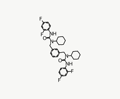 O=C(Nc1ccc(F)cc1F)N(Cc1cccc(CN(C(=O)Nc2ccc(F)cc2F)C2CCCCC2)c1)C1CCCCC1